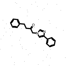 O=C(CCc1ccccc1)Cn1cnc(-c2ccccc2)c1